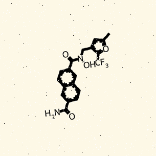 Cc1cc(CN(O)C(=O)c2ccc3cc(C(N)=O)ccc3c2)c(C(F)(F)F)o1